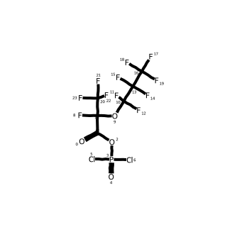 O=C(OP(=O)(Cl)Cl)C(F)(OC(F)(F)C(F)(F)C(F)(F)F)C(F)(F)F